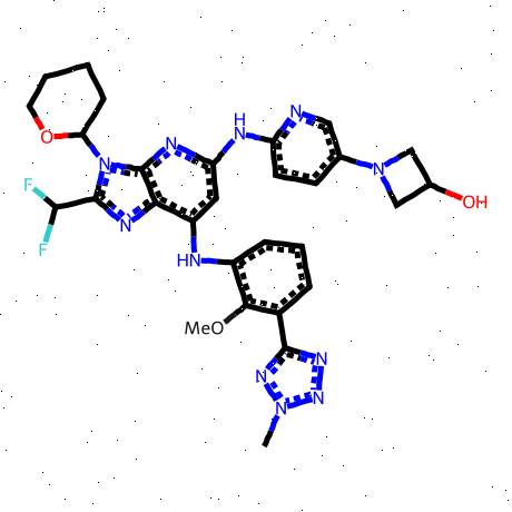 COc1c(Nc2cc(Nc3ccc(N4CC(O)C4)cn3)nc3c2nc(C(F)F)n3C2CCCCO2)cccc1-c1nnn(C)n1